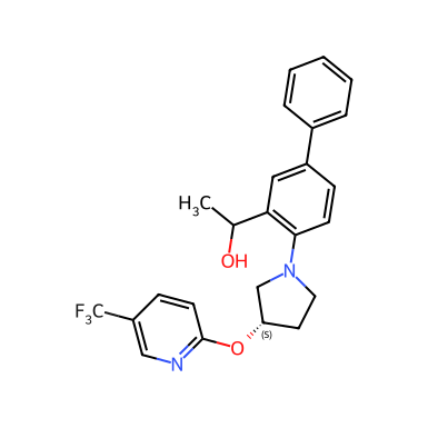 CC(O)c1cc(-c2ccccc2)ccc1N1CC[C@H](Oc2ccc(C(F)(F)F)cn2)C1